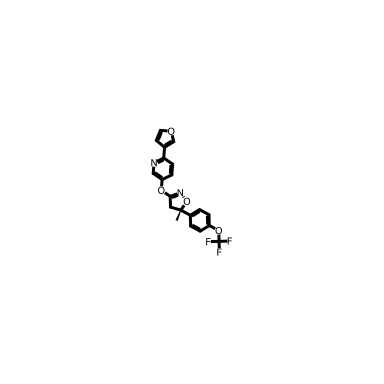 C[C@@]1(c2ccc(OC(F)(F)F)cc2)CC(Oc2ccc(-c3ccoc3)nc2)=NO1